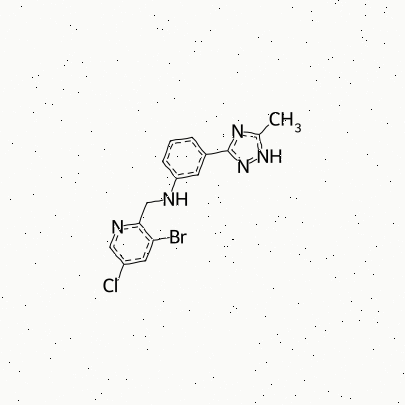 Cc1nc(-c2cccc(NCc3ncc(Cl)cc3Br)c2)n[nH]1